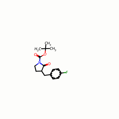 CC(C)(C)OC(=O)N1CCC(Cc2ccc(F)cc2)C1=O